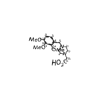 COc1ccc(CN2CCN(CC(=O)O)CC2)c(OC)c1OC